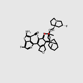 CC(C)(O)CN1CC2CCC(C1)N2c1nc(OC[C@@]23CCCN2C[C@H](F)C3)nc2c(F)c(-c3ncc(F)c4sc(N)c(C#N)c34)c3c(c12)COC3